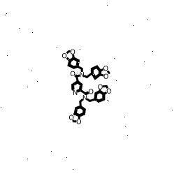 O=C(c1ccnc(C(=O)N(Cc2ccc3c(c2)OCO3)Cc2ccc3c(c2)OCO3)c1)N(Cc1ccc2c(c1)OCO2)Cc1ccc2c(c1)OCO2